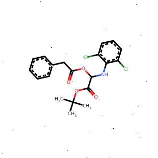 CC(C)(C)OC(=O)C(Nc1c(Cl)cccc1Cl)OC(=O)Cc1ccccc1